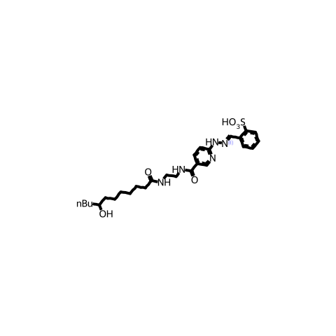 CCCCC(O)CCCCCCC(=O)NCCNC(=O)c1ccc(N/N=C/c2ccccc2S(=O)(=O)O)nc1